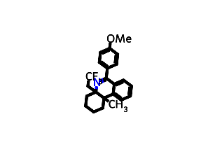 COc1ccc(C2=NC3(CC(F)(F)F)CCCCC3(C)c3ccccc32)cc1